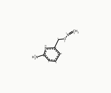 C=NOCc1cccc(N)n1